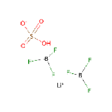 FB(F)F.FB(F)F.O=S(=O)([O-])O.[Li+]